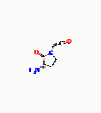 N[C@H]1CCN(C=C=O)C1=O